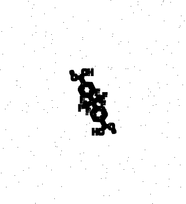 COC(O)c1ccc(C(c2ccc(C(O)OC)cc2)(C(F)(F)F)C(F)(F)F)cc1